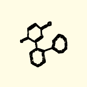 O=C1C=CC(=O)C(c2ccccc2-c2ccccc2)=C1